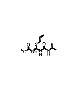 C=CCS/C(=N\C(=O)OC)NC(=O)NC(C)C